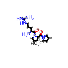 N=C(N)NCCCC(N)C(=O)N1CCCC1C(=O)N1CCCC1C(=O)O